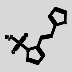 CS(=O)(=O)n1nccc1C=Cc1cccs1